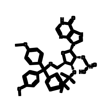 COc1ccc(C(OC[C@H]2O[C@@H](n3cnc4c(=O)[nH]cnc43)[C@H](O[PH](=O)O)[C@@H]2O[Si](C)(C)C(C)(C)C)(c2ccccc2)c2ccc(OC)cc2)cc1